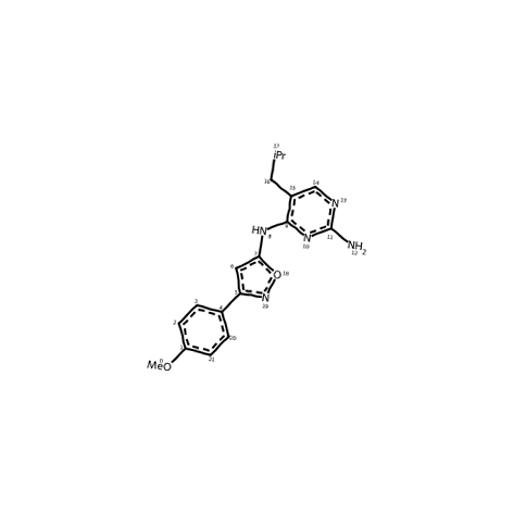 COc1ccc(-c2cc(Nc3nc(N)ncc3CC(C)C)on2)cc1